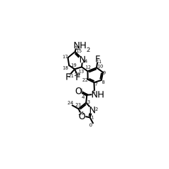 Cc1nc(C(=O)Nc2ccc(F)c(C3N=C(N)CCC3(F)F)c2)c(C)o1